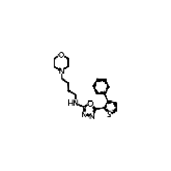 c1ccc(-c2ccsc2-c2nnc(NCCCCN3CCOCC3)o2)cc1